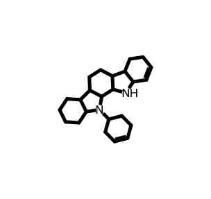 C1=CC2NC3C(CCC4C5CCCCC5N(C5CC=CCC5)C43)C2CC1